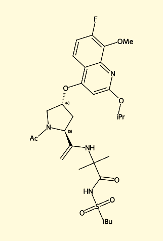 C=C(NC(C)(C)C(=O)NS(=O)(=O)C(C)CC)[C@@H]1C[C@@H](Oc2cc(OC(C)C)nc3c(OC)c(F)ccc23)CN1C(C)=O